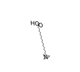 CC[N+](CC)(CC)CCCCCCCCCCCCCCCCC(=O)O